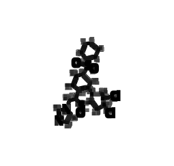 O=S(=O)(c1ccccc1)c1ccc(C(Cn2ccnc2)[S+]([O-])c2ccc(Cl)c(Cl)c2)cc1